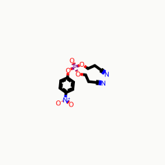 N#CCCOP(=O)(OCCC#N)Oc1ccc([N+](=O)[O-])cc1